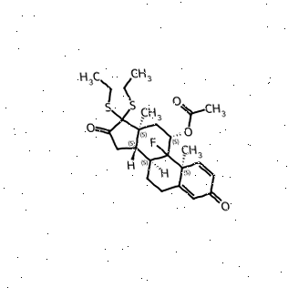 CCSC1(SCC)C(=O)C[C@H]2[C@@H]3CCC4=CC(=O)C=C[C@]4(C)C3(F)[C@@H](OC(C)=O)C[C@@]21C